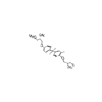 COC[C@@H](COc1ccc(C(C)(C)c2ccc(OC[C@@H](CCl)OC(C)=O)c(C)c2)cc1)OC(C)=O